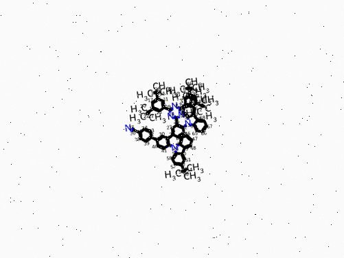 CC(C)(C)c1cc(-c2nc(-c3cc(C(C)(C)C)cc(C(C)(C)C)c3)nc(-c3cc(-c4cc(-c5ccc(C#N)cc5)ccc4-n4c5ccccc5c5cc(C(C)(C)C)ccc54)ccc3-n3c4ccccc4c4cc(C(C)(C)C)ccc43)n2)cc(C(C)(C)C)c1